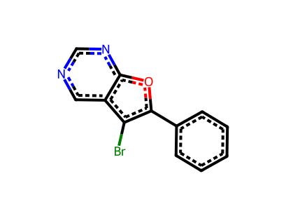 Brc1c(-c2ccccc2)oc2ncncc12